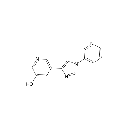 Oc1cncc(-c2cn(-c3cccnc3)cn2)c1